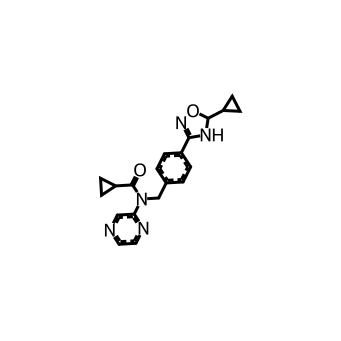 O=C(C1CC1)N(Cc1ccc(C2=NOC(C3CC3)N2)cc1)c1cnccn1